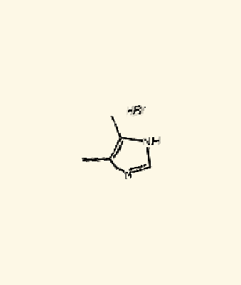 Br.Cc1nc[nH]c1C